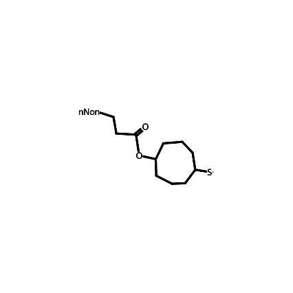 [CH2]CCCCCCCCCCC(=O)OC1CCCC([S])CCC1